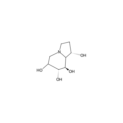 OC1CN2CC[C@H](O)C2[C@@H](O)[C@@H]1O